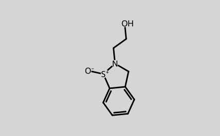 [O-][S+]1c2ccccc2CN1CCO